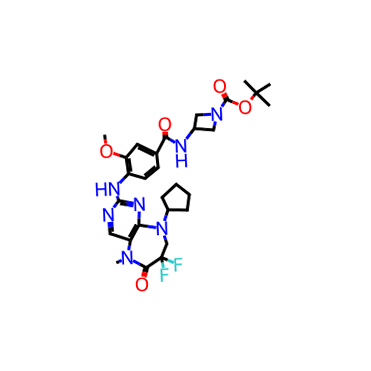 COc1cc(C(=O)NC2CN(C(=O)OC(C)(C)C)C2)ccc1Nc1ncc2c(n1)N(C1CCCC1)CC(F)(F)C(=O)N2C